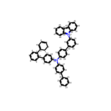 C1=CCCC(c2ccccc2-c2ccc(N(c3ccc(-c4ccccc4)cc3)c3ccc(-c4cccc(-n5c6ccccc6c6ccccc65)c4)cc3)cc2)=C1